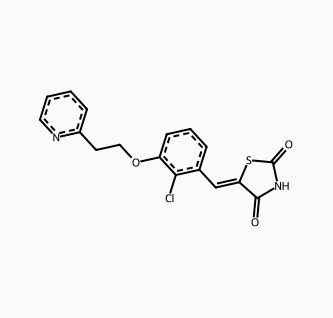 O=C1NC(=O)/C(=C/c2cccc(OCCc3ccccn3)c2Cl)S1